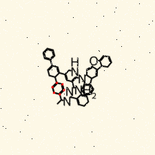 CC(/N=C(\N=C(/N)C1=C(N2c3ccccc3C3C=C4C(=CC32)OC2=CC=CCC24)NCC(C2=CC(c3ccccc3)=CCC2C2=CCCC=C2)=C1)C1=CCCC=C1)C1=CCCCC1